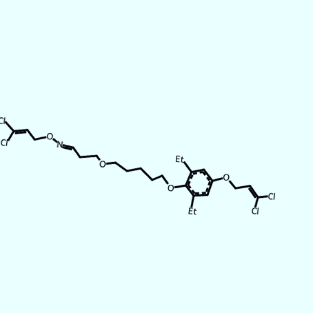 CCc1cc(OCC=C(Cl)Cl)cc(CC)c1OCCCCCOCC/C=N/OCC=C(Cl)Cl